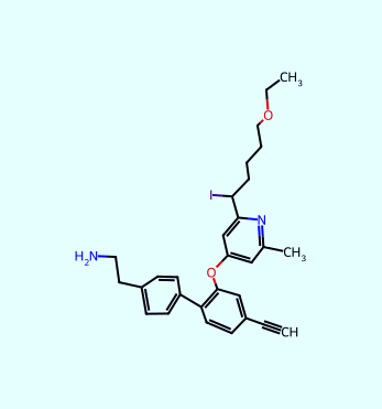 C#Cc1ccc(-c2ccc(CCN)cc2)c(Oc2cc(C)nc(C(I)CCCCOCC)c2)c1